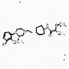 CO[C@@H](C)C(=O)N[C@H]1CC[C@H](CCN2CCN(c3cccc(Cl)c3Cl)[C@H](C)C2)CC1